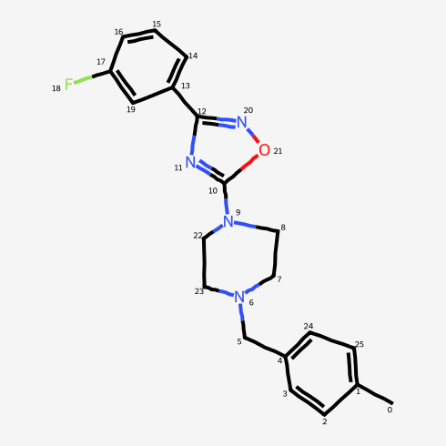 Cc1ccc(CN2CCN(c3nc(-c4cccc(F)c4)no3)CC2)cc1